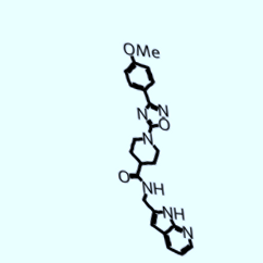 COc1ccc(-c2noc(N3CCC(C(=O)NCc4cc5cccnc5[nH]4)CC3)n2)cc1